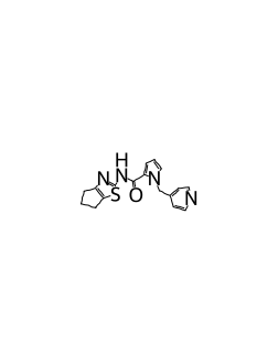 O=C(Nc1nc2c(s1)CCC2)c1cccn1Cc1ccncc1